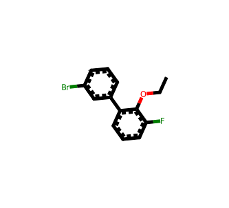 CCOc1c(F)cccc1-c1cc[c]c(Br)c1